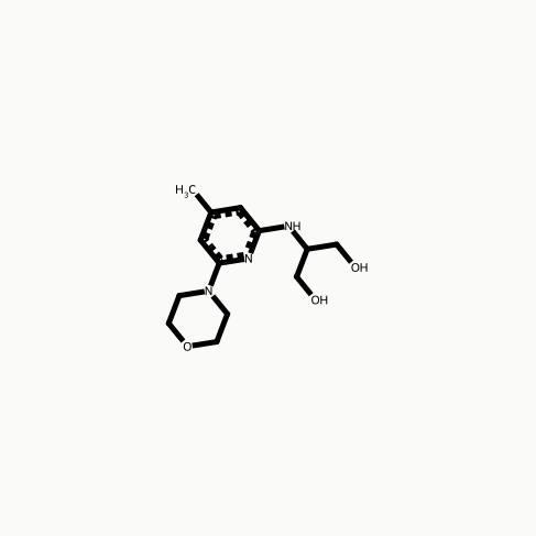 Cc1cc(NC(CO)CO)nc(N2CCOCC2)c1